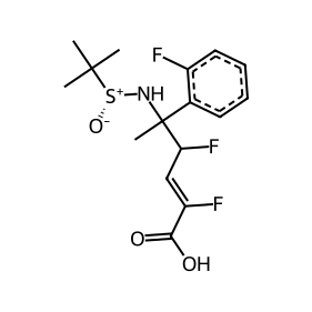 CC(N[S@+]([O-])C(C)(C)C)(c1ccccc1F)C(F)C=C(F)C(=O)O